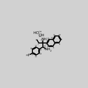 CCC(N)(c1ccc2ccccc2c1)C(N)c1ccc(F)cc1.Cl.Cl